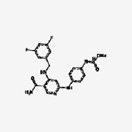 CO[SH](=O)=Nc1ccc(Nc2cc(NCc3cc(F)cc(F)c3)c(C(N)=O)cn2)cc1